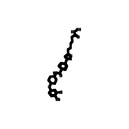 N#Cc1ccc(OC2CCC(NC(=O)c3ccc(-n4cc(CCCCCC(=O)NO)nn4)cc3)CC2)cc1Cl